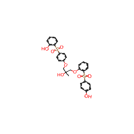 CC(O)(COc1ccc(S(=O)(=O)c2ccccc2O)cc1)COc1ccccc1S(=O)(=O)c1ccc(O)cc1